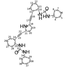 O=C(Nc1ccccc1)Nc1ccccc1C#Cc1ccc(C#Cc2ccccc2NC(=O)Nc2ccccc2)[nH]1